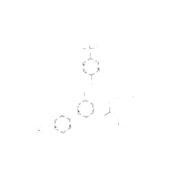 CCCCC(Oc1ccc(-c2ccc(OC(F)(F)F)cc2)cc1OCc1ccc(C(C)(C)C)cc1)C(=O)OCC